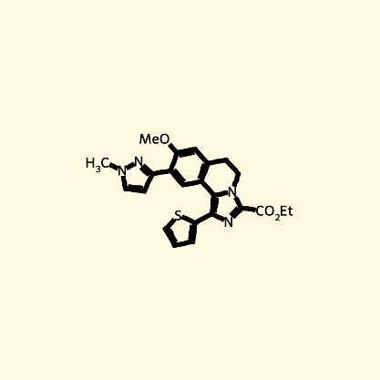 CCOC(=O)c1nc(-c2cccs2)c2n1CCc1cc(OC)c(-c3ccn(C)n3)cc1-2